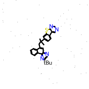 CC(C)(C)c1cnc2cc(CC(C)(C)c3ccc4c(c3)sc3ncncc34)c3ccccc3c2n1